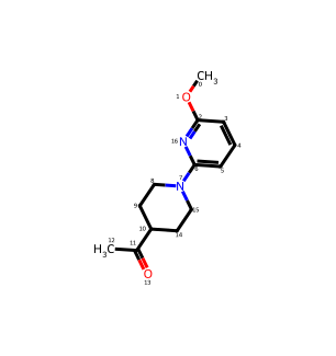 COc1cccc(N2CCC(C(C)=O)CC2)n1